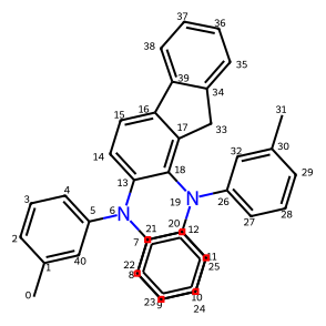 Cc1cccc(N(c2ccccc2)c2ccc3c(c2N(c2ccccc2)c2cccc(C)c2)Cc2ccccc2-3)c1